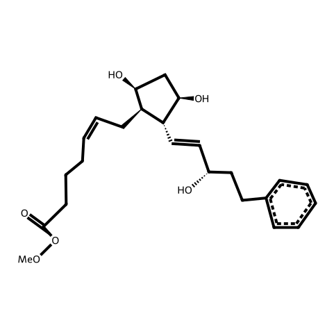 COOC(=O)CCC/C=C\C[C@@H]1[C@@H](/C=C/[C@@H](O)CCc2ccccc2)[C@H](O)C[C@@H]1O